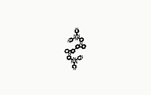 C1=Cc2c(n(-c3cccc(-c4nc(-c5ccncc5)nc(C5C=CN=CC5)n4)c3)c3ccc(-c4ccc5c(c4)c4ccccc4n5-c4cccc(-c5nc(-c6ccncc6)nc(-c6ccncc6)n5)c4)cc23)CC1